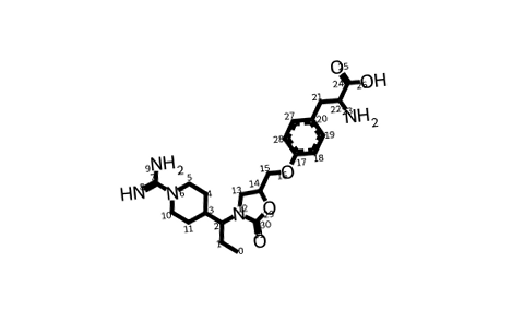 CCC(C1CCN(C(=N)N)CC1)N1CC(COc2ccc(CC(N)C(=O)O)cc2)OC1=O